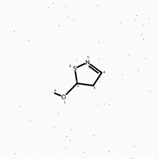 COC1C[C]=NS1